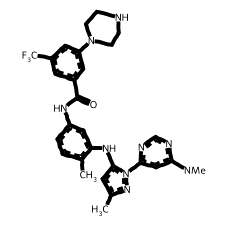 CNc1cc(-n2nc(C)cc2Nc2cc(NC(=O)c3cc(N4CCNCC4)cc(C(F)(F)F)c3)ccc2C)ncn1